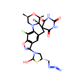 C[C@@H]1CN2c3c(cc4c(N5C[C@H](CN=[N+]=[N-])SC5O)noc4c3F)CC3(C(=O)NC(=O)NC3=O)[C@H]2[C@H](C)O1